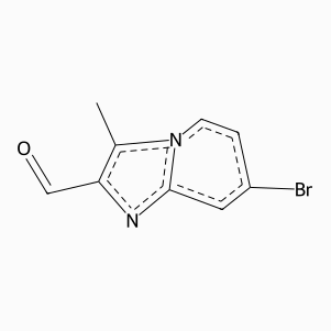 Cc1c(C=O)nc2cc(Br)ccn12